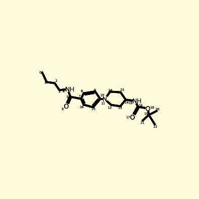 CCCCNC(=O)c1ccc(N2CCC(NC(=O)OC(C)(C)C)CC2)cc1